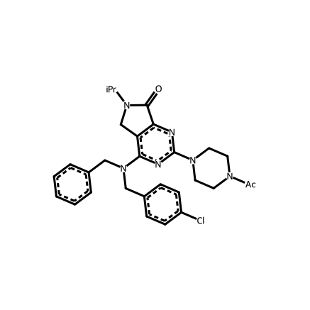 CC(=O)N1CCN(c2nc3c(c(N(Cc4ccccc4)Cc4ccc(Cl)cc4)n2)CN(C(C)C)C3=O)CC1